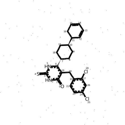 O=c1[nH]c(=S)[nH]c([C@H]2CC[C@H](C3C=CC=CC3)CC2)c1Cc1ccc(Cl)cc1Cl